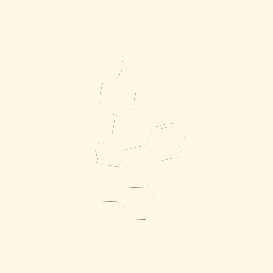 Cc1ccccc1-c1[nH]nc(N2CCN(C)CC2)c1-c1ccncc1